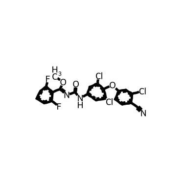 CO/C(=N\C(=O)Nc1cc(Cl)c(Oc2ccc(C#N)c(Cl)c2)c(Cl)c1)c1c(F)cccc1F